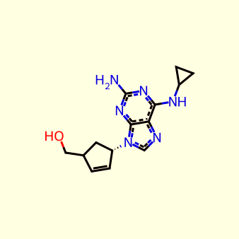 Nc1nc(NC2CC2)c2ncn([C@@H]3C=CC(CO)C3)c2n1